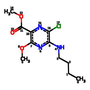 CCCCNc1nc(OC)c(C(=O)OC)nc1Cl